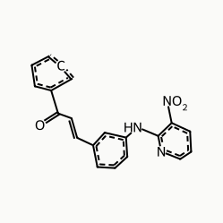 O=C(/C=C/c1cccc(Nc2ncccc2[N+](=O)[O-])c1)c1ccccc1